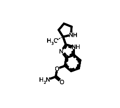 C[C@]1(c2nc3c(OC(N)=O)cccc3[nH]2)CCCN1